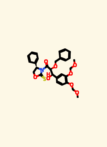 COCOc1ccc([C@@H](O)[C@H](OCc2ccccc2)C(=O)N2C(=S)OC[C@@H]2c2ccccc2)cc1OCOC